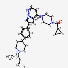 CC[C@H](C)N1CCC(c2ccc(-c3cc4c(N5CCN(C(=O)C6CC6)CC5)ccnn4c3)cc2)CC1